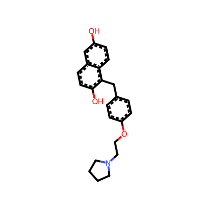 Oc1ccc2c(Cc3ccc(OCCN4CCCC4)cc3)c(O)ccc2c1